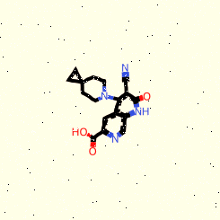 N#Cc1c(N2CCC3(CC2)CC3)c2cc(C(=O)O)ncc2[nH]c1=O